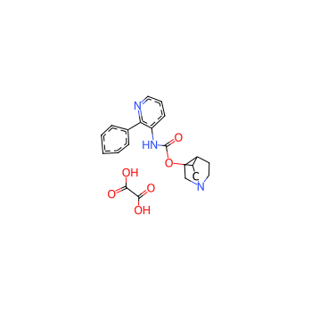 O=C(Nc1cccnc1-c1ccccc1)OC1CN2CCC1CC2.O=C(O)C(=O)O